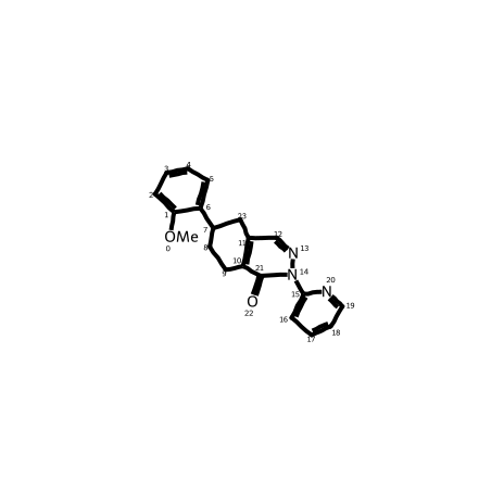 COc1ccccc1C1CCc2c(cnn(-c3ccccn3)c2=O)C1